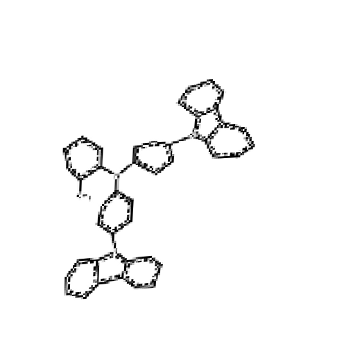 Cc1ccccc1N(c1ccc(-n2c3ccccc3c3ccccc32)cc1)c1ccc(-n2c3ccccc3c3ccccc32)cc1